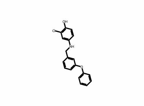 Oc1ccc(NCc2cccc(Oc3ccccc3)c2)cc1Cl